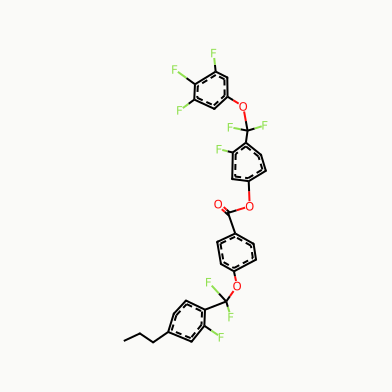 CCCc1ccc(C(F)(F)Oc2ccc(C(=O)Oc3ccc(C(F)(F)Oc4cc(F)c(F)c(F)c4)c(F)c3)cc2)c(F)c1